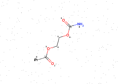 CC(C)C(=O)OCCOC(N)=O